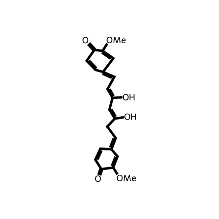 COC1=CC(=CC=C(O)C=C(O)CC=C2C=CC(=O)C(OC)=C2)C=CC1=O